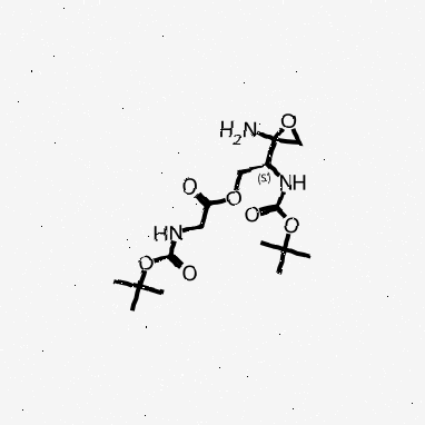 CC(C)(C)OC(=O)NCC(=O)OC[C@H](NC(=O)OC(C)(C)C)C1(N)CO1